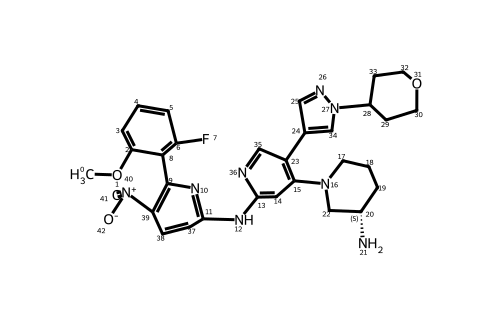 COc1cccc(F)c1-c1nc(Nc2cc(N3CCC[C@H](N)C3)c(-c3cnn(C4CCOCC4)c3)cn2)ccc1[N+](=O)[O-]